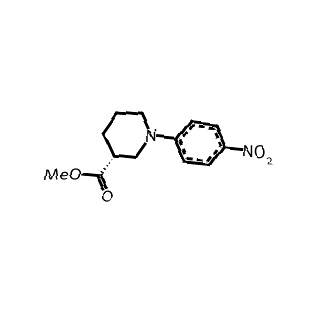 COC(=O)[C@@H]1CCCN(c2ccc([N+](=O)[O-])cc2)C1